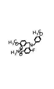 COc1ccc(CN(Cc2ccc(OC)cc2)c2cc(S(N)(=O)=O)ccc2F)cc1